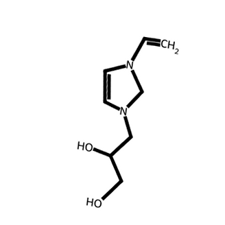 C=CN1C=CN(CC(O)CO)C1